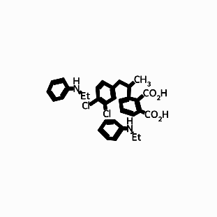 CC(Cc1ccc(Cl)c(Cl)c1)c1cccc(C(=O)O)c1C(=O)O.CCNc1ccccc1.CCNc1ccccc1